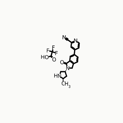 C[C@@H]1C[C@@H](N2Cc3ccc(-c4ccnc(C#N)c4)cc3C2=O)CN1.O=C(O)C(F)(F)F